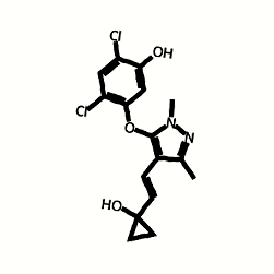 Cc1nn(C)c(Oc2cc(O)c(Cl)cc2Cl)c1C=CC1(O)CC1